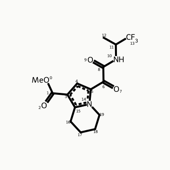 COC(=O)c1cc(C(=O)C(=O)NC(C)C(F)(F)F)n2c1CCCC2